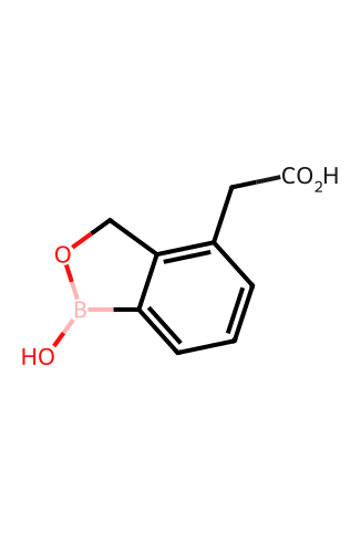 O=C(O)Cc1cccc2c1COB2O